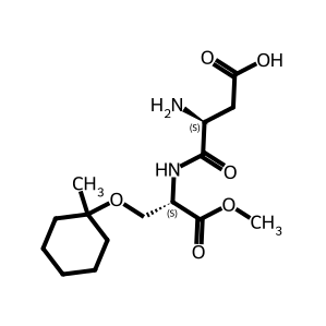 COC(=O)[C@H](COC1(C)CCCCC1)NC(=O)[C@@H](N)CC(=O)O